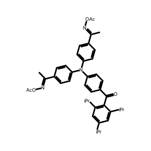 CC(=O)ON=C(C)c1ccc(N(c2ccc(C(=O)c3c(C(C)C)cc(C(C)C)cc3C(C)C)cc2)c2ccc(/C(C)=N/OC(C)=O)cc2)cc1